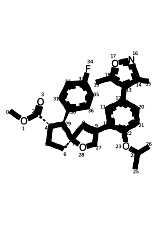 COC(=O)[C@H]1CC[C@@]2(C=C(c3cc(-c4c(C)noc4C)ccc3OC(C)C)CO2)[C@@H]1c1ccc(F)cc1